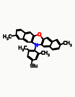 Cc1ccc2cc3c(cc2c1)Oc1cc2ccc(C)cc2cc1N3c1c(C)cc(C(C)(C)C)cc1C